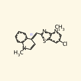 CN1C=C/C(=C\c2nc3c(cc(Cl)c[n+]3C)s2)c2ccccc21